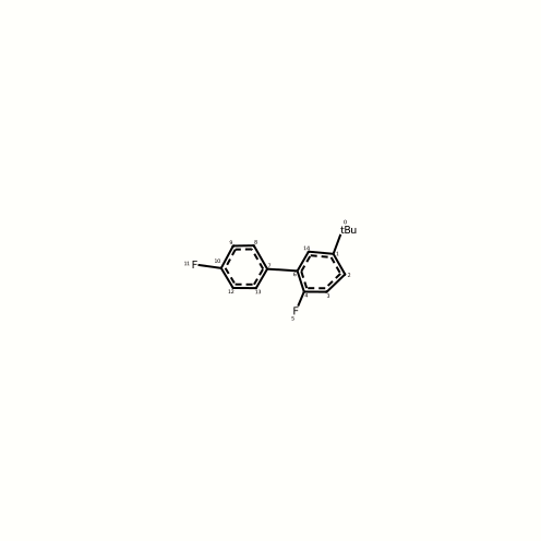 CC(C)(C)c1ccc(F)c(-c2ccc(F)cc2)c1